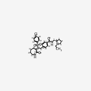 CCN1CCC[C@@H]1CNC(=O)c1ccc(CN([C@@H]2CCCCNC2=O)S(=O)(=O)c2ccc(Cl)cc2)cc1